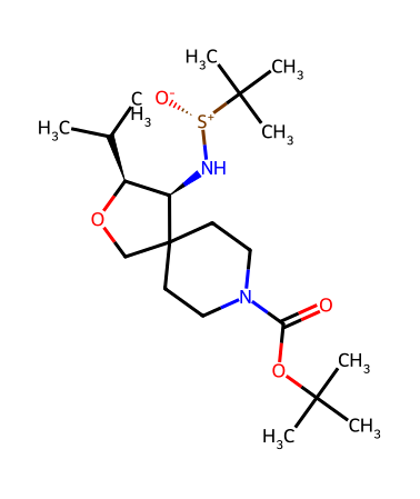 CC(C)[C@@H]1OCC2(CCN(C(=O)OC(C)(C)C)CC2)[C@@H]1N[S@+]([O-])C(C)(C)C